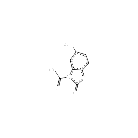 CC(=O)Oc1ccc2sc(=O)n(C(=O)C(C)C)c2c1